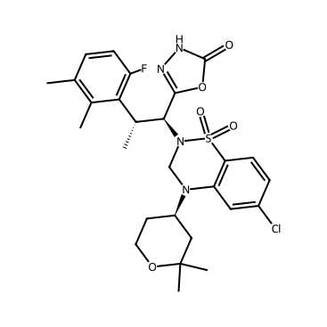 Cc1ccc(F)c([C@@H](C)[C@@H](c2n[nH]c(=O)o2)N2CN([C@@H]3CCOC(C)(C)C3)c3cc(Cl)ccc3S2(=O)=O)c1C